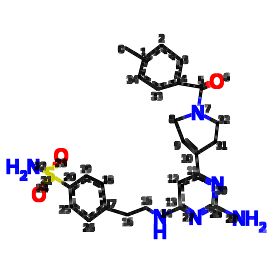 Cc1ccc(C(=O)N2CC=C(c3cc(NCCc4ccc(S(N)(=O)=O)cc4)nc(N)n3)CC2)cc1